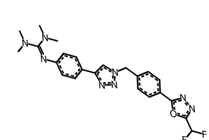 CN(C)C(=Nc1ccc(-c2cn(Cc3ccc(-c4nnc(C(F)F)o4)cc3)nn2)cc1)N(C)C